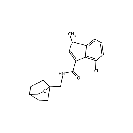 Cn1cc(C(=O)NCC23CCC(CC2)CC3)c2c(Cl)cccc21